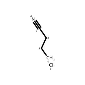 CCCC#N.[C]